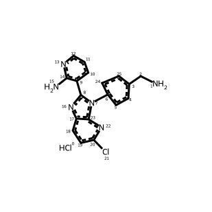 Cl.NCc1ccc(-n2c(-c3cccnc3N)nc3ccc(Cl)nc32)cc1